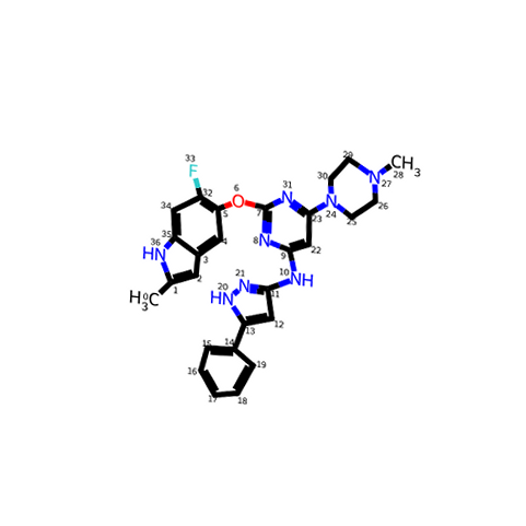 Cc1cc2cc(Oc3nc(Nc4cc(-c5ccccc5)[nH]n4)cc(N4CCN(C)CC4)n3)c(F)cc2[nH]1